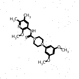 COc1cc(OC)cc(N2CCN(C(=S)Nc3cc(C)c(C)nc3OC)CC2)c1